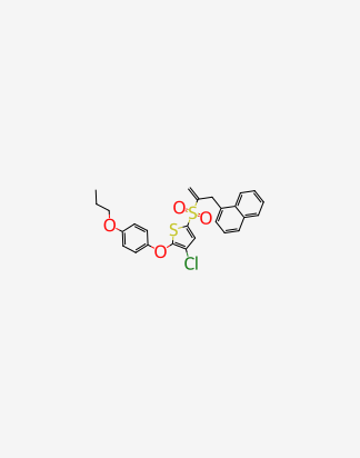 C=C(Cc1cccc2ccccc12)S(=O)(=O)c1cc(Cl)c(Oc2ccc(OCCC)cc2)s1